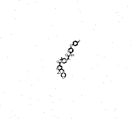 COc1ncc(C(=O)N2CCN([C@@H](C)C(=O)Nc3ccc(Oc4ccc(F)cc4)cn3)CC2(C)C)cc1CN1CCOCC1